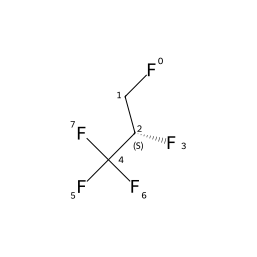 FC[C@H](F)C(F)(F)F